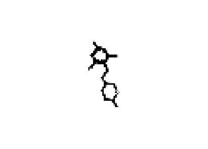 Cc1cc(F)c(CCC2CCC(C)OC2)c(F)c1